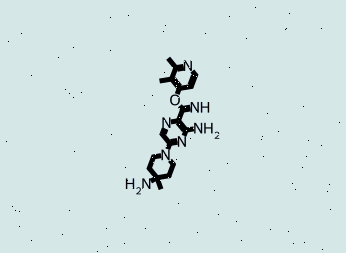 Cc1nccc(OC(=N)c2ncc(N3CCC(C)(N)CC3)nc2N)c1C